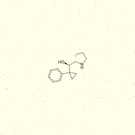 O[C@@H]([C@@H]1CCCN1)C1(c2ccccc2)CC1